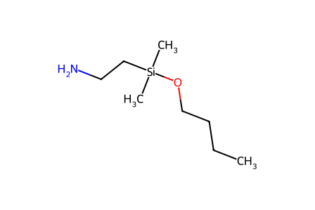 CCCCO[Si](C)(C)CCN